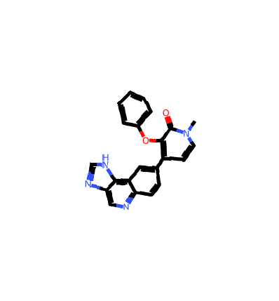 Cn1ccc(-c2ccc3ncc4nc[nH]c4c3c2)c(Oc2ccccc2)c1=O